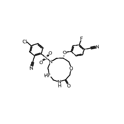 N#Cc1ccc(O[C@@H]2COCC(=O)NCPCN(S(=O)(=O)c3ccc(Cl)cc3C#N)C2)cc1F